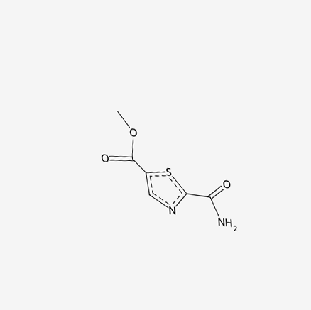 COC(=O)c1cnc(C(N)=O)s1